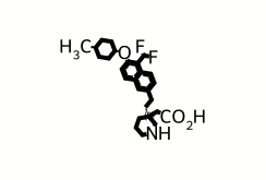 C[C@H]1CC[C@@H](Oc2ccc3cc(CC[C@@]4(CC(=O)O)CCCNC4)ccc3c2C(F)F)CC1